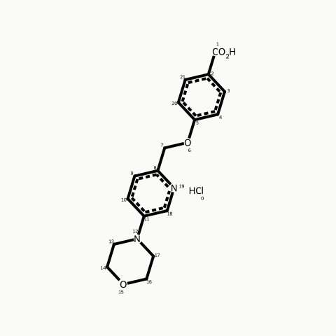 Cl.O=C(O)c1ccc(OCc2ccc(N3CCOCC3)cn2)cc1